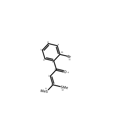 CSC(=CC(=O)c1ccccc1Br)SC